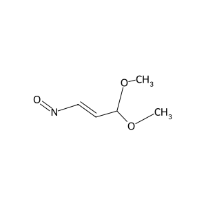 COC(/C=C/N=O)OC